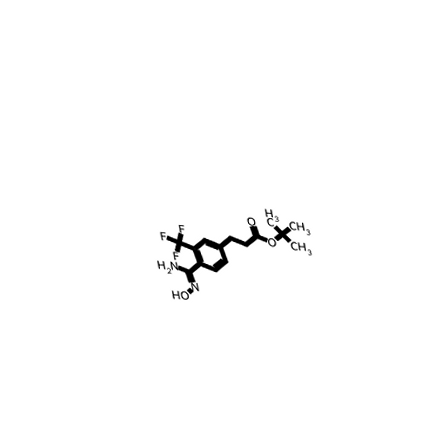 CC(C)(C)OC(=O)CCc1ccc(/C(N)=N/O)c(C(F)(F)F)c1